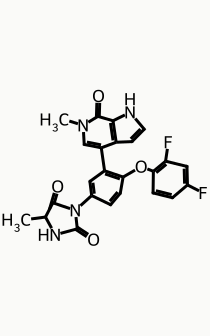 CC1NC(=O)N(c2ccc(Oc3ccc(F)cc3F)c(-c3cn(C)c(=O)c4[nH]ccc34)c2)C1=O